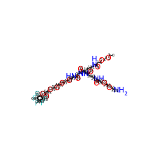 CCOCCOCCC(=O)NCCCC[C@H](NC(=O)CCCNC(=O)CCOCCOCCN)C(=O)NCC(=O)NCCOCCOCCOCCOCCC(=O)Oc1c(F)c(F)c(F)c(F)c1F